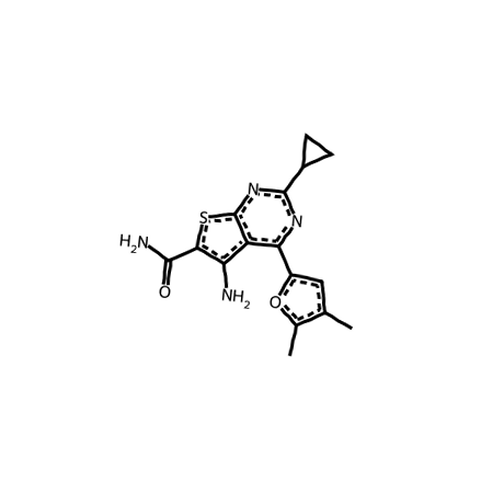 Cc1cc(-c2nc(C3CC3)nc3sc(C(N)=O)c(N)c23)oc1C